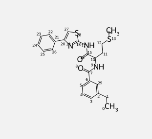 CCc1cccc(C(=O)NC(CCSC)C(=O)Nc2nc(-c3ccccc3)cs2)c1